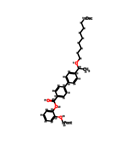 CCCCCCCCCCCCCCCCCCOC(C)c1ccc(-c2ccc(C(=O)Oc3ccccc3OCCCCC)cc2)cc1